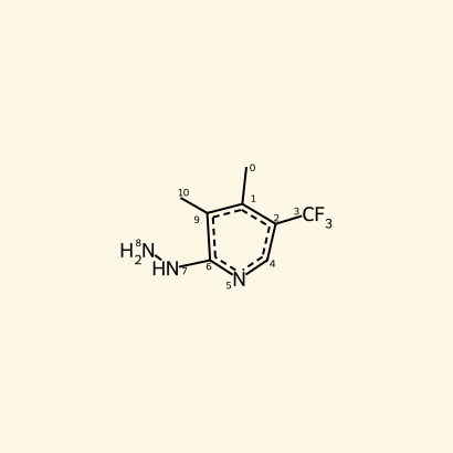 Cc1c(C(F)(F)F)cnc(NN)c1C